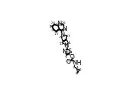 O=C(NCC1CC1)Oc1cnc(N2CC3=C(C2)CN(c2ncnc4ccccc24)C3)s1